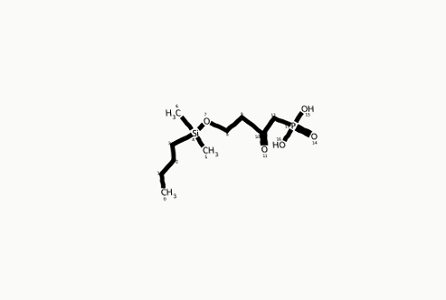 CCCC[Si](C)(C)OCCC(=O)CP(=O)(O)O